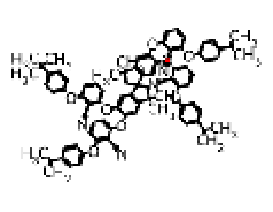 C=C(C)c1ccc(Oc2cccc(Oc3cc4c(cc3Oc3cccc(Oc5ccc(C(=C)C)cc5)c3C#N)C3(CC4(C)C)CC(C)(C)c4cc(Oc5cccc(Oc6ccc(C(=C)C)cc6)c5C#N)c(Oc5cccc(Oc6ccc(C(C)(C)C)cc6)c5C#N)cc43)c2C#N)cc1